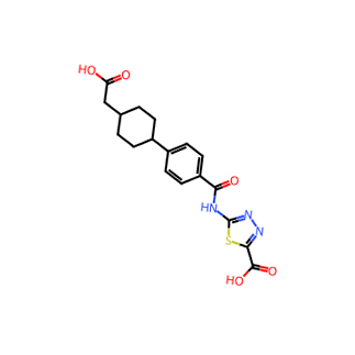 O=C(O)CC1CCC(c2ccc(C(=O)Nc3nnc(C(=O)O)s3)cc2)CC1